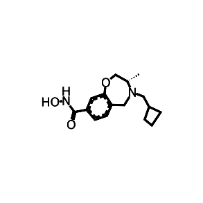 C[C@H]1COc2cc(C(=O)NO)ccc2CN1CC1CCC1